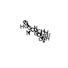 Cc1c(NC(=O)NC2CC2)ccc(Oc2ccnc3cc(OC[C@@H](O)CN4CCCC4)c(C#N)cc23)c1C